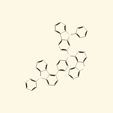 c1ccc(-n2c3ccccc3c3ccc(N(c4ccc(-c5cccc6c5c5ccccc5n6-c5ccccc5)cc4)c4cccc5oc6ccccc6c45)cc32)cc1